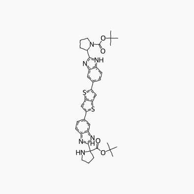 CC(C)(C)OC(=O)N1CCCC1c1nc2cc(-c3cc4sc(-c5ccc6nc(C7(C(=O)OC(C)(C)C)CCCN7)[nH]c6c5)cc4s3)ccc2[nH]1